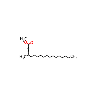 CCCCCCCCCCCCCCC(C)C#CC(=O)OC